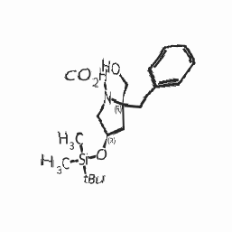 CC(C)(C)[Si](C)(C)O[C@H]1CN(C(=O)O)[C@](CO)(Cc2ccccc2)C1